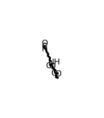 C=CC(=O)OCCOC(=O)NCCCCCCN=C=O